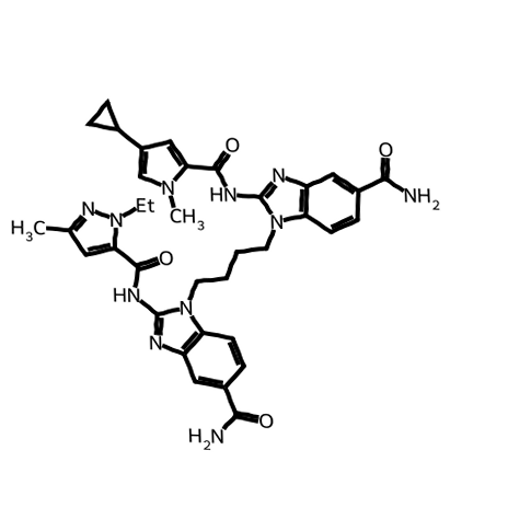 CCn1nc(C)cc1C(=O)Nc1nc2cc(C(N)=O)ccc2n1CCCCn1c(NC(=O)c2cc(C3CC3)cn2C)nc2cc(C(N)=O)ccc21